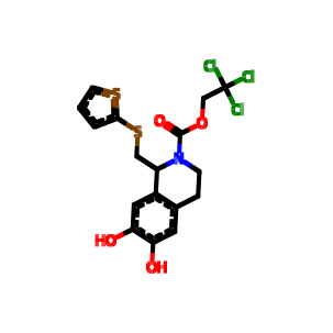 O=C(OCC(Cl)(Cl)Cl)N1CCc2cc(O)c(O)cc2C1CSc1cccs1